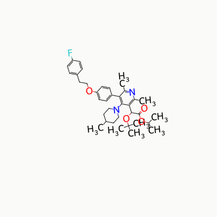 Cc1nc(C)c(C(OC(C)(C)C)C(=O)OC(C)C)c(N2CCC(C)CC2)c1-c1ccc(OCCc2ccc(F)cc2)cc1